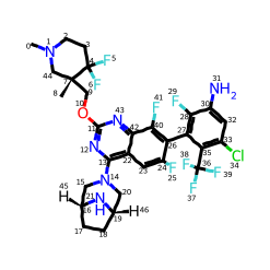 CN1CCC(F)(F)[C@](C)(COc2nc(N3C[C@H]4CC[C@@H](C3)N4)c3cc(F)c(-c4c(F)c(N)cc(Cl)c4C(F)(F)F)c(F)c3n2)C1